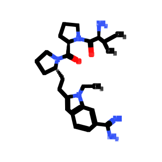 CCn1c(CC[C@@H]2CCCN2C(=O)[C@H]2CCCN2C(=O)[C@@H](N)C(C)C)cc2ccc(C(=N)N)cc21